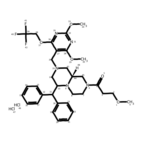 COCCC(=O)N1CCN2C(C(c3ccccc3)c3ccccc3)CN(Cc3c(OC)nc(OC)nc3OCC(F)(F)F)C[C@@H]2C1.Cl.Cl